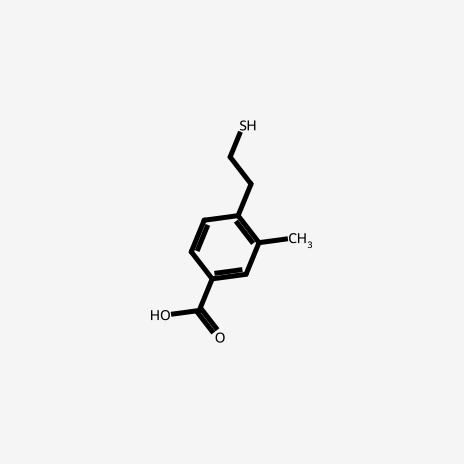 Cc1cc(C(=O)O)ccc1CCS